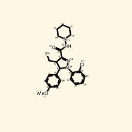 COc1ccc(C2C(CF)C(C(=O)NN3CCCCC3)=NN2c2ccccc2Cl)cc1